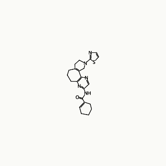 O=C(Nc1cnc2c(n1)CCCC1=C2CN(c2nccs2)CC1)C1=CCCCC1